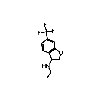 CCNC1COc2cc(C(F)(F)F)ccc21